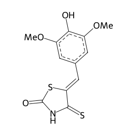 COc1cc(/C=C2\SC(=O)NC2=S)cc(OC)c1O